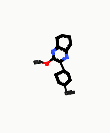 COc1ccc(-c2nc3ccccc3nc2OC(C)(C)C)cc1